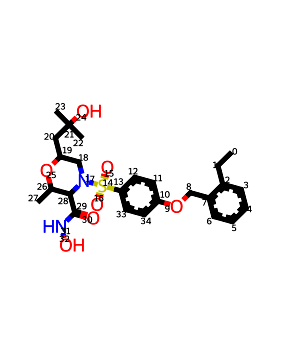 CCc1ccccc1COc1ccc(S(=O)(=O)N2CC(CC(C)(C)O)OC(C)C2C(=O)NO)cc1